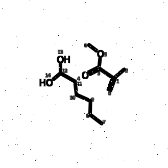 C=C(C)C(=O)OC.CCCCCC(O)O